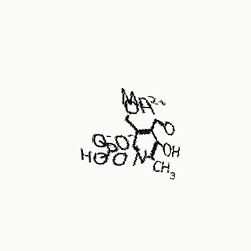 Cc1ncc(CO)c(C=O)c1O.O=P([O-])([O-])O.[Mn+2]